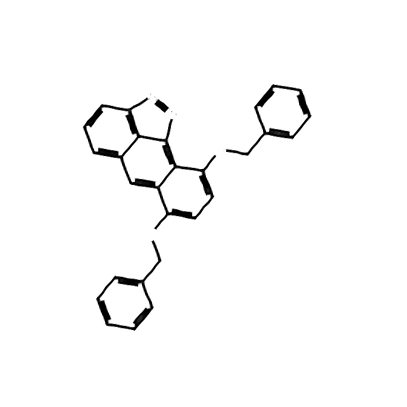 c1ccc(COc2ccc(OCc3ccccc3)c3c4c5c(cccc5cc23)N=N4)cc1